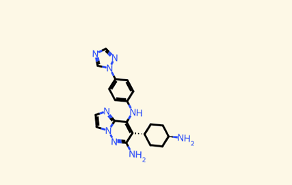 Nc1nn2ccnc2c(Nc2ccc(-n3cncn3)cc2)c1[C@H]1CC[C@H](N)CC1